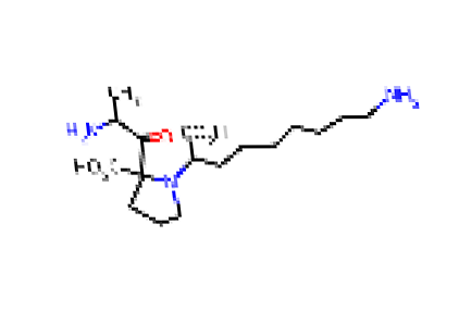 CC(N)C(=O)C1(C(=O)O)CCCN1C(CCCCCCCN)C(=O)O